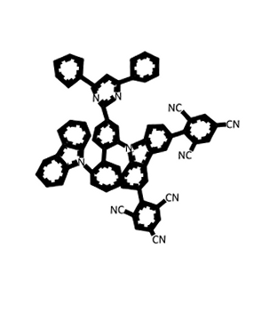 N#Cc1cc(C#N)c(-c2ccc3c(c2)c2cc(-c4c(C#N)cc(C#N)cc4C#N)ccc2n3-c2cc(-c3nc(-c4ccccc4)cc(-c4ccccc4)n3)ccc2-c2ccccc2-n2c3ccccc3c3ccccc32)c(C#N)c1